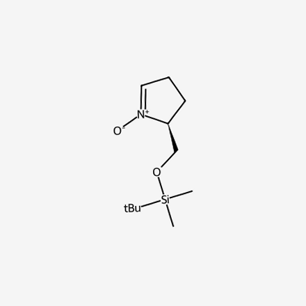 CC(C)(C)[Si](C)(C)OC[C@@H]1CCC=[N+]1[O-]